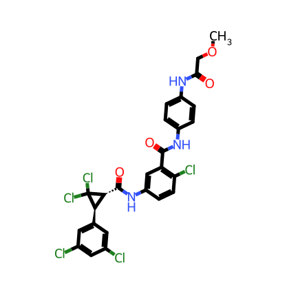 COCC(=O)Nc1ccc(NC(=O)c2cc(NC(=O)[C@@H]3[C@@H](c4cc(Cl)cc(Cl)c4)C3(Cl)Cl)ccc2Cl)cc1